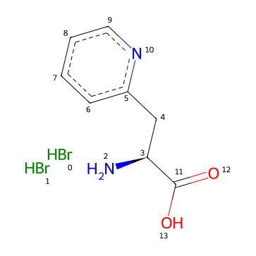 Br.Br.N[C@@H](Cc1ccccn1)C(=O)O